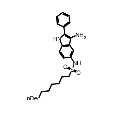 CCCCCCCCCCCCCCCCS(=O)(=O)Nc1ccc2[nH]c(-c3ccccc3)c(N)c2c1